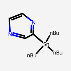 CCC[CH2][Sn]([CH2]CCC)([CH2]CCC)[c]1[c]nccn1